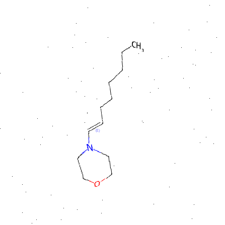 CCCCCC/C=C/N1CCOCC1